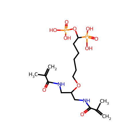 C=C(C)C(=O)NCC(CNC(=O)C(=C)C)OCCCCCC(OP(=O)(O)O)P(=O)(O)O